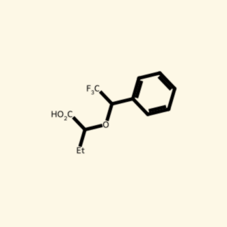 CCC(OC(c1ccccc1)C(F)(F)F)C(=O)O